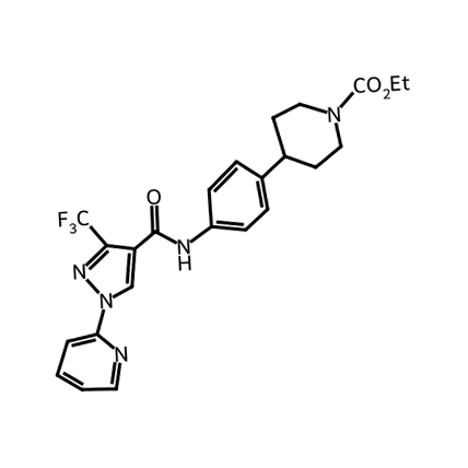 CCOC(=O)N1CCC(c2ccc(NC(=O)c3cn(-c4ccccn4)nc3C(F)(F)F)cc2)CC1